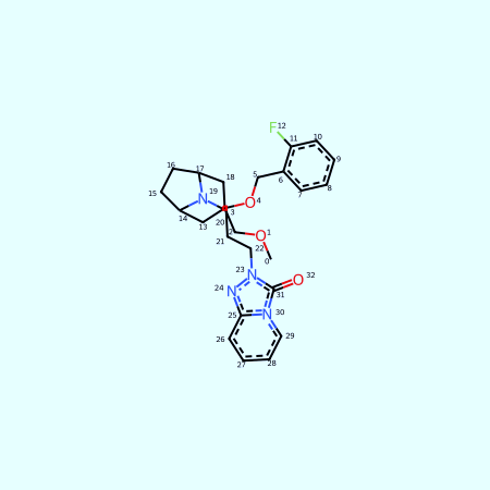 COCC1(OCc2ccccc2F)CC2CCC(C1)N2CCCn1nc2ccccn2c1=O